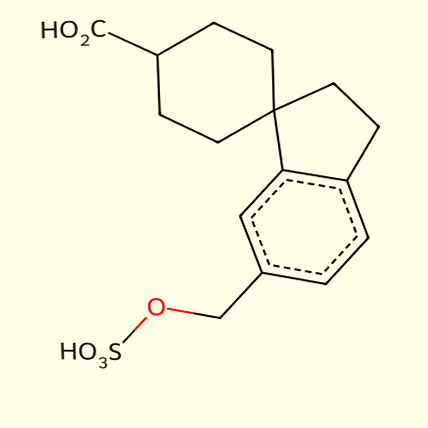 O=C(O)C1CCC2(CCc3ccc(COS(=O)(=O)O)cc32)CC1